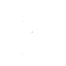 O=C(O)Nc1ccc(C(=O)N[C@@H](CCO)C(=O)N2CC[C@@]3(C2)OC(=O)Nc2ccc(Cl)cc23)cc1